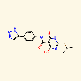 CC(C)Sc1nc(O)c(C(=O)Nc2ccc(-c3cnn[nH]3)cc2)c(=O)[nH]1